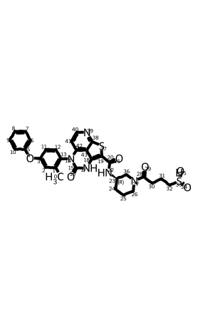 Cc1cc(Oc2ccccc2)ccc1N1C(=O)Nc2c(C(=O)N[C@@H]3CCCN(C(=O)CCC[SH](=O)=O)C3)sc3nccc1c23